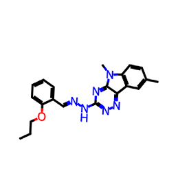 CCCOc1ccccc1C=NNc1nnc2c3cc(C)ccc3n(C)c2n1